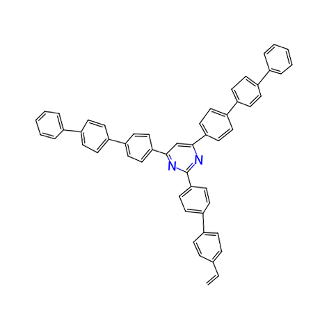 C=Cc1ccc(-c2ccc(-c3nc(-c4ccc(-c5ccc(-c6ccccc6)cc5)cc4)cc(-c4ccc(-c5ccc(-c6ccccc6)cc5)cc4)n3)cc2)cc1